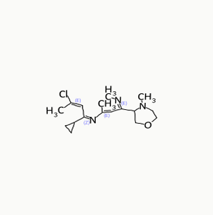 C\N=C(/C=C(C)/N=C(\C=C(/C)Cl)C1CC1)C1COCCN1C